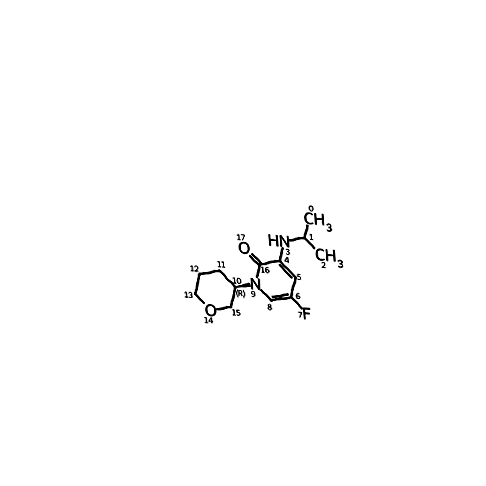 CC(C)Nc1cc(F)cn([C@@H]2CCCOC2)c1=O